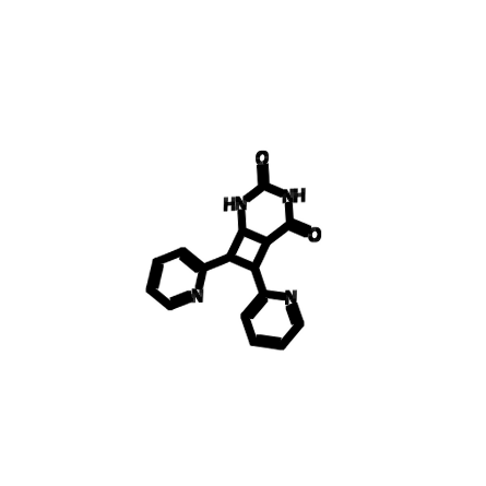 O=C1NC(=O)C2C(N1)C(c1ccccn1)C2c1ccccn1